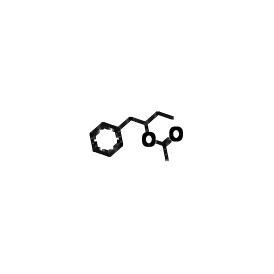 CCC(Cc1ccccc1)OC(C)=O